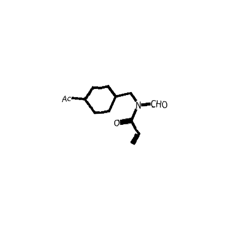 C=CC(=O)N(C=O)CC1CCC(C(C)=O)CC1